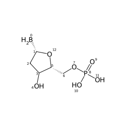 B[C@H]1CC(O)[C@@H](COP(=O)(O)O)O1